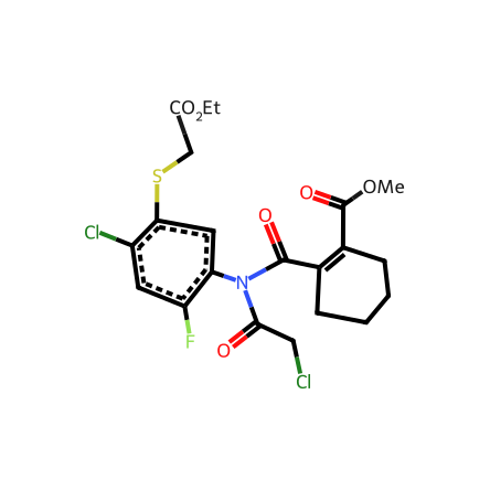 CCOC(=O)CSc1cc(N(C(=O)CCl)C(=O)C2=C(C(=O)OC)CCCC2)c(F)cc1Cl